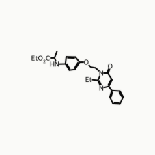 CCOC(=O)C(C)Nc1ccc(OCCn2c(CC)nc(-c3ccccc3)cc2=O)cc1